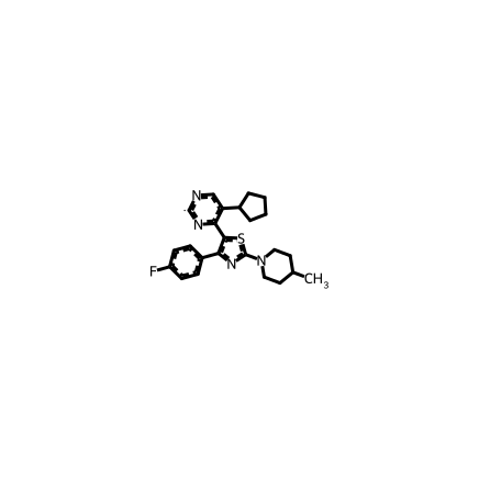 CC1CCN(c2nc(-c3ccc(F)cc3)c(-c3n[c]ncc3C3CCCC3)s2)CC1